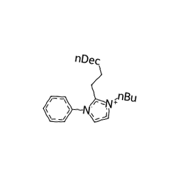 CCCCCCCCCCCCc1n(-c2ccccc2)cc[n+]1CCCC